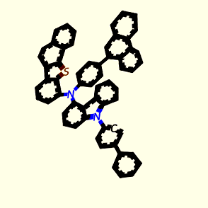 c1ccc(-c2ccc(-n3c4ccccc4c4c(N(c5ccc(-c6cc7ccccc7c7ccccc67)cc5)c5cccc6c5sc5c7ccccc7ccc65)cccc43)cc2)cc1